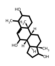 CC1C2=CC(O)[C@@H]3[C@@H](CC[C@]4(C)C(O)CC[C@@H]34)[C@@]2(C)CCC1O